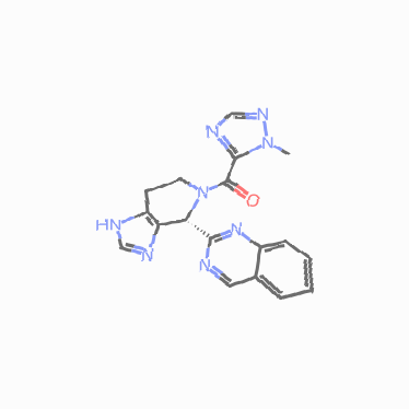 Cn1ncnc1C(=O)N1CCc2[nH]cnc2[C@H]1c1ncc2ccccc2n1